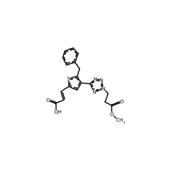 COC(=O)CCn1nnc(-c2cc(/C=C/C(=O)O)sc2Cc2ccccc2)n1